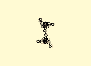 C[Si](C)(C)CCOCn1cc(-c2ccc(-c3ccc(-c4cn(COCC[Si](C)(C)C)c(N5CCCN5C(=O)OCc5ccccc5)n4)cc3)cc2)nc1N1CCCN1C(=O)OCc1ccccc1